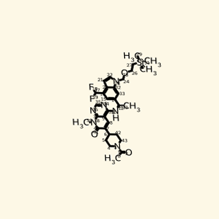 CC(=O)N1CCC(c2cc3c(N[C@H](C)c4cc(C(F)F)c5ccn(COCC[Si](C)(C)C)c5c4)ncnc3n(C)c2=O)CC1